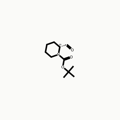 CC(C)(C)OC(=O)N1CCCC[C@@H]1C=O